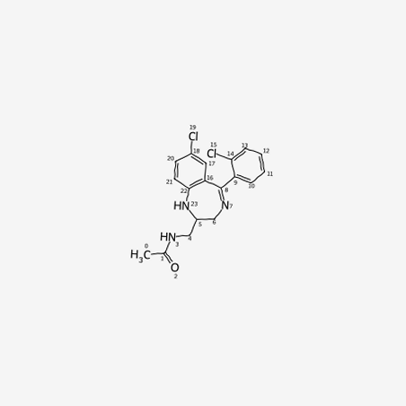 CC(=O)NCC1CN=C(c2ccccc2Cl)c2cc(Cl)ccc2N1